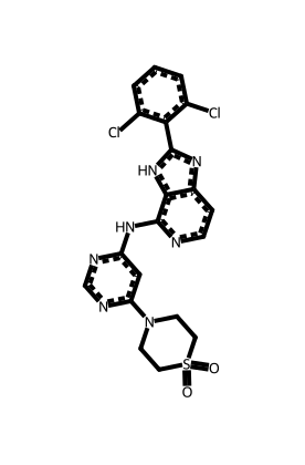 O=S1(=O)CCN(c2cc(Nc3nccc4nc(-c5c(Cl)cccc5Cl)[nH]c34)ncn2)CC1